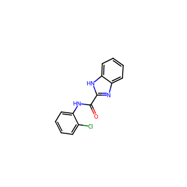 O=C(Nc1ccccc1Cl)c1nc2ccccc2[nH]1